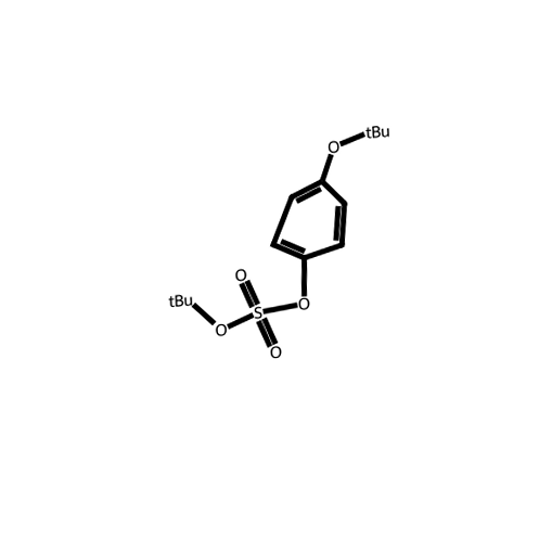 CC(C)(C)Oc1ccc(OS(=O)(=O)OC(C)(C)C)cc1